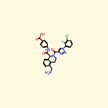 NCc1cccc2c1CCN(C(=O)c1cn(-c3cccc(Cl)c3F)nn1)C2C(=O)Nc1ccc(C(=O)O)cc1